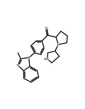 Cc1nc2ccccc2n1-c1ccc(C(=O)C2CCCN2C2CCNC2)cc1